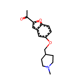 CC(=O)c1cc2cc(OCC3CCN(C)CC3)ccc2o1